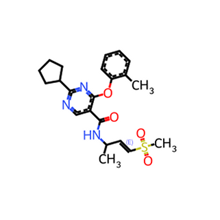 Cc1ccccc1Oc1nc(C2CCCC2)ncc1C(=O)NC(C)/C=C/S(C)(=O)=O